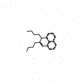 CCCCC1=Cc2cccc3cccc(c23)C1CCCC